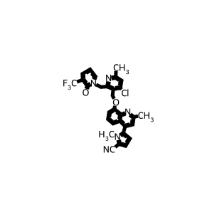 Cc1cc(Cl)c(COc2cccc3c(-c4ccc(C#N)n4C)cc(C)nc23)c(Cn2cccc(C(F)(F)F)c2=O)n1